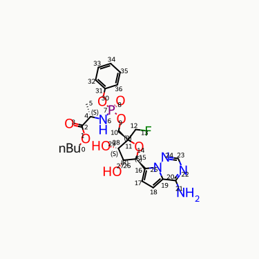 CCCCOC(=O)[C@H](C)NP(=O)(OC[C@@]1(CF)O[C@@H](c2ccc3c(N)ncnn23)[C@H](O)[C@@H]1O)Oc1ccccc1